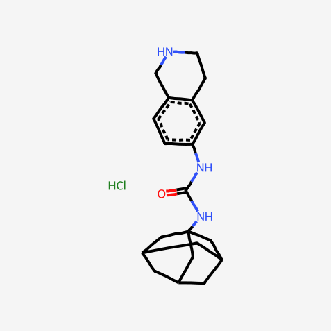 Cl.O=C(Nc1ccc2c(c1)CCNC2)NC12CC3CC(CC(C3)C1)C2